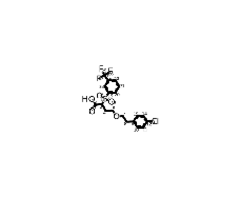 O=C(O)C(CCOCCc1ccc(Cl)cc1)S(=O)(=O)c1cccc(C(F)(F)F)c1